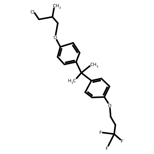 CC(CCl)COc1ccc(C(C)(C)c2ccc(OCCC(F)(F)F)cc2)cc1